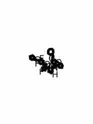 O=C(NC1c2ccccc2Oc2cc(OCC3CCCCCCC3)ccc21)C1CCCN1C(=O)C1CC(F)CN1C(=O)c1cc(F)c(OCc2ccccc2)c(F)c1